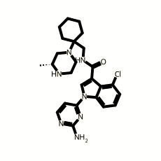 C[C@@H]1CN(C2(CNC(=O)c3cn(-c4ccnc(N)n4)c4cccc(Cl)c34)CCCCC2)CCN1